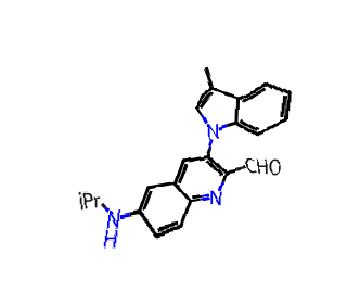 Cc1cn(-c2cc3cc(NC(C)C)ccc3nc2C=O)c2ccccc12